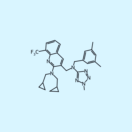 Cc1cc(C)cc(CN(Cc2cc3cccc(C(F)(F)F)c3nc2N(CC2CC2)CC2CC2)c2nnn(C)n2)c1